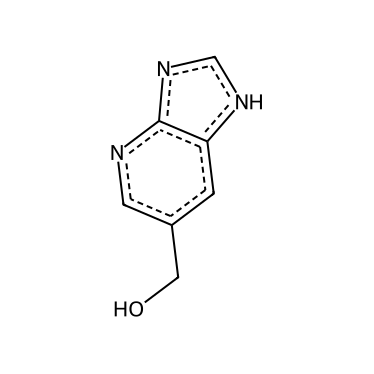 OCc1cnc2nc[nH]c2c1